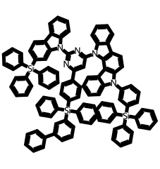 c1ccc(-c2cccc([Si](c3ccccc3)(c3ccccc3)c3ccc(-c4cc(-n5c6ccccc6c6ccc7c(c8ccccc8n7-c7cccc([Si](c8ccccc8)(c8ccccc8)c8ccccc8)c7)c65)nc(-n5c6ccccc6c6ccc([Si](c7ccccc7)(c7ccccc7)c7ccccc7)cc65)n4)cc3)c2)cc1